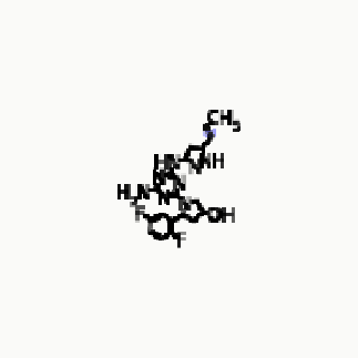 C/C=C/c1cc(Nc2nc(N)nc(N3CC(O)CC3c3cc(F)ccc3F)n2)n[nH]1